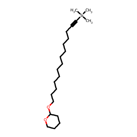 C[Si](C)(C)C#CCCCCCCCCCCCCOC1CCCCO1